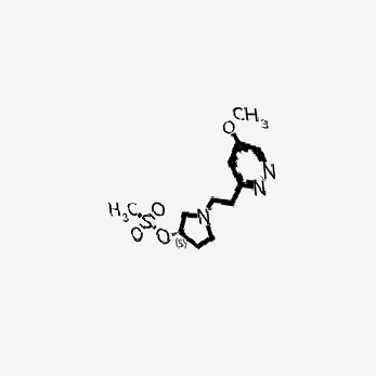 COc1cnnc(CCN2CC[C@H](OS(C)(=O)=O)C2)c1